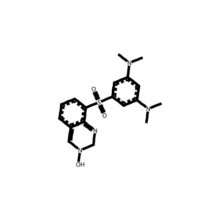 CN(C)c1cc(N(C)C)cc(S(=O)(=O)c2cccc3c2=NCN(O)C=3)c1